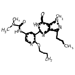 CCCOc1ncc(NC(=O)N(C)C)cc1-c1nc2c(CCC)nn(C)c2c(=O)[nH]1